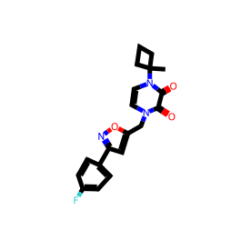 CC1(n2ccn(Cc3cc(-c4ccc(F)cc4)no3)c(=O)c2=O)CCC1